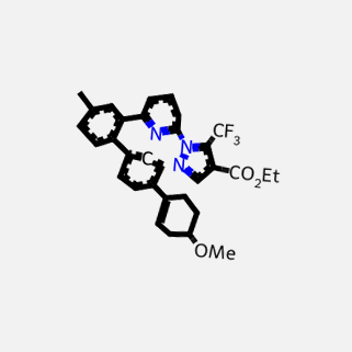 CCOC(=O)c1cnn(-c2cccc(-c3cc(C)ccc3-c3ccc(C4=CCC(OC)CC4)cc3)n2)c1C(F)(F)F